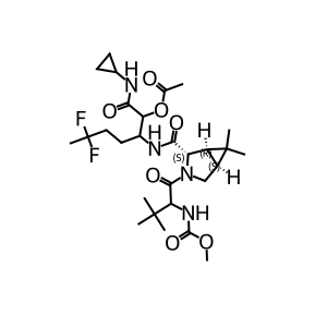 COC(=O)NC(C(=O)N1C[C@H]2[C@@H]([C@H]1C(=O)NC(CCC(C)(F)F)C(OC(C)=O)C(=O)NC1CC1)C2(C)C)C(C)(C)C